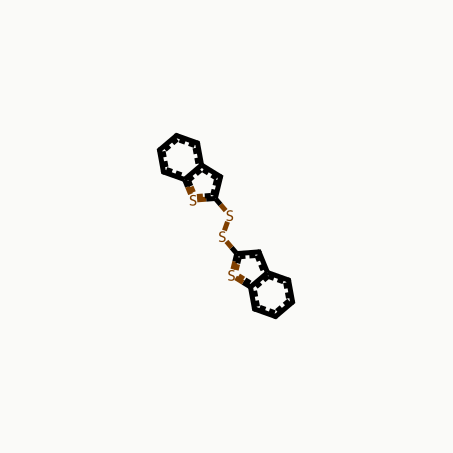 c1ccc2sc(SSc3cc4ccccc4s3)cc2c1